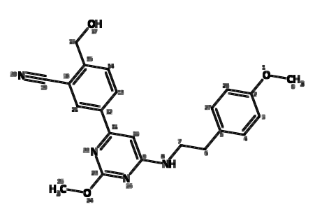 COc1ccc(CCNc2cc(-c3ccc(CO)c(C#N)c3)nc(OC)n2)cc1